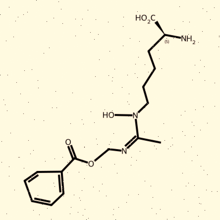 CC(=NCOC(=O)c1ccccc1)N(O)CCCC[C@H](N)C(=O)O